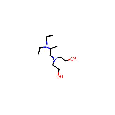 CCN(CC)C(C)CN(CCO)CCO